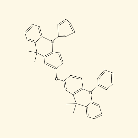 CC1(C)c2ccccc2N(c2ccccc2)c2ccc(Oc3ccc4c(c3)C(C)(C)c3ccccc3N4c3ccccc3)cc21